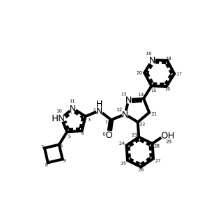 O=C(Nc1cc(C2CCC2)[nH]n1)N1N=C(c2cccnc2)CC1c1ccccc1O